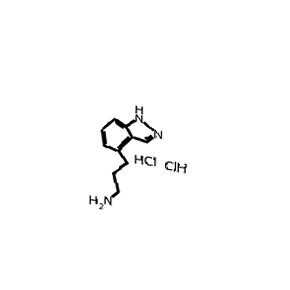 Cl.Cl.NCCCc1cccc2[nH]ncc12